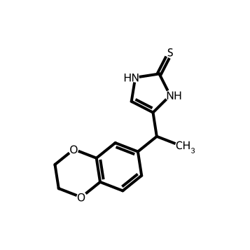 CC(c1ccc2c(c1)OCCO2)c1c[nH]c(=S)[nH]1